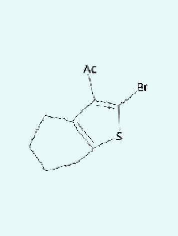 CC(=O)c1c(Br)sc2c1CCCC2